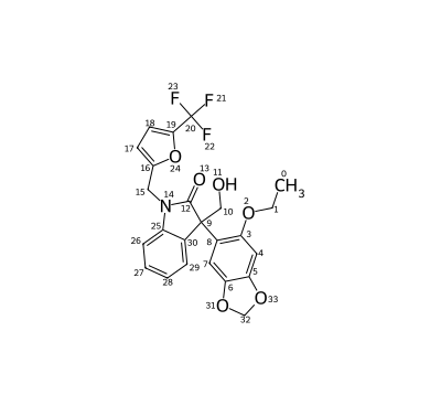 CCOc1cc2c(cc1C1(CO)C(=O)N(Cc3ccc(C(F)(F)F)o3)c3ccccc31)OCO2